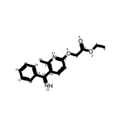 CCOC(=O)COc1ccc(C(=N)c2ccccc2)c(C)n1